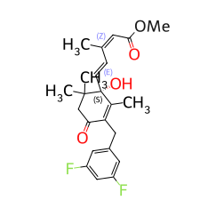 COC(=O)/C=C(C)\C=C\[C@@]1(O)C(C)=C(Cc2cc(F)cc(F)c2)C(=O)CC1(C)C